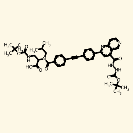 CC(C)CN(C(=O)c1ccc(C#Cc2ccc(-c3cc(C(=O)NNC(=O)OC(C)(C)C)c4cnccc4n3)cc2)cc1)C(CNC(=O)OC(C)(C)C)C(=O)O